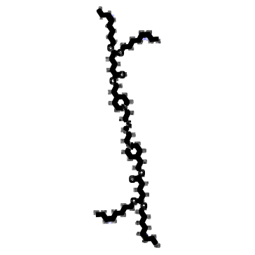 CC/C=C\CCCCOC(CCCC(=O)OCCC1CCN(CCSSCCN2CCC(CCOC(=O)CCCC(OCCCC/C=C\CC)OCCCC/C=C\CC)CC2)CC1)OCCCC/C=C\CC